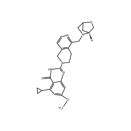 COc1cc(C2CC2)c2c(=O)[nH]c(N3CCc4c(ccnc4CN4CC5C[C@@H]4CO5)C3)nc2c1